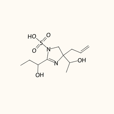 C=CCC1(C(C)O)CN(S(=O)(=O)O)C(C(O)CC)=N1